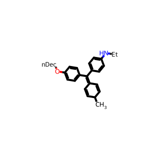 CCCCCCCCCCOc1ccc(C(=C2C=CC(C)C=C2)c2ccc(NCC)cc2)cc1